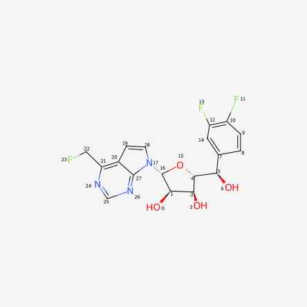 O[C@@H]1[C@H](O)[C@@H]([C@H](O)c2ccc(F)c(F)c2)O[C@H]1n1ccc2c(CF)ncnc21